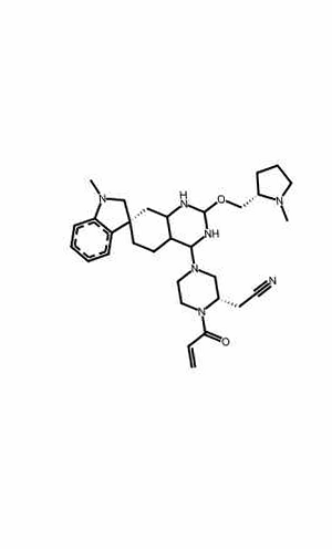 C=CC(=O)N1CCN(C2NC(OC[C@@H]3CCCN3C)NC3C[C@@]4(CCC32)CN(C)c2ccccc24)C[C@@H]1CC#N